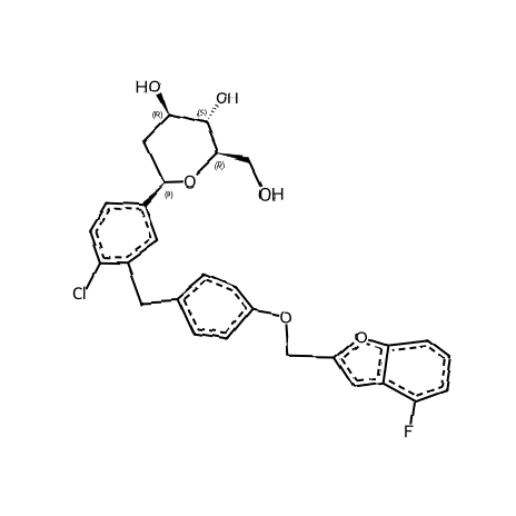 OC[C@H]1O[C@@H](c2ccc(Cl)c(Cc3ccc(OCc4cc5c(F)cccc5o4)cc3)c2)C[C@@H](O)[C@@H]1O